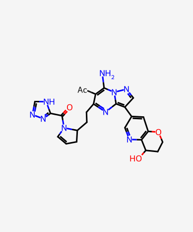 CC(=O)c1c(CCC2CC=CN2C(=O)c2nnc[nH]2)nc2c(-c3cnc4c(c3)OCCC4O)cnn2c1N